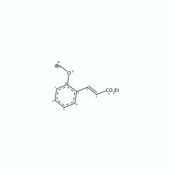 CCOC(=O)C=Cc1ccccc1OC(C)CC